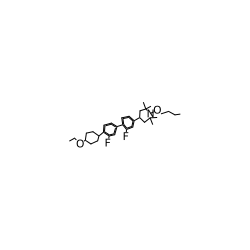 CCCCON1C(C)(C)CC(c2ccc(-c3ccc(C4CCC(OCC)CC4)c(F)c3)c(F)c2)CC1(C)C